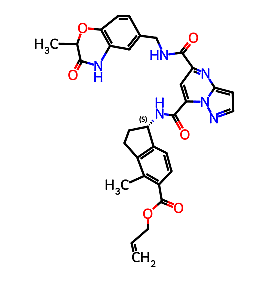 C=CCOC(=O)c1ccc2c(c1C)CC[C@@H]2NC(=O)c1cc(C(=O)NCc2ccc3c(c2)NC(=O)C(C)O3)nc2ccnn12